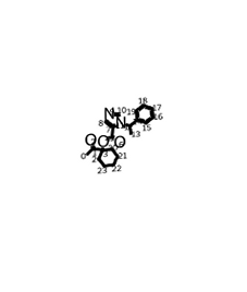 CC(=O)C1(OC(=O)c2cncn2C(C)c2ccccc2)CCCCC1